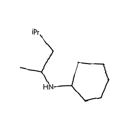 CC(C)CC(C)NC1CCCCC1